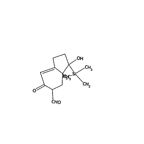 CC12CC(C=O)C(=O)C=C1CCC2(O)[Si](C)(C)C